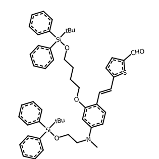 CN(CCO[Si](c1ccccc1)(c1ccccc1)C(C)(C)C)c1ccc(C=Cc2ccc(C=O)s2)c(OCCCCO[Si](c2ccccc2)(c2ccccc2)C(C)(C)C)c1